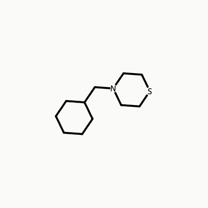 C1CCC(CN2CCSCC2)CC1